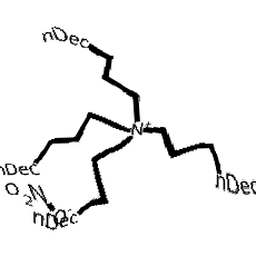 CCCCCCCCCCCCC[N+](CCCCCCCCCCCCC)(CCCCCCCCCCCCC)CCCCCCCCCCCCC.O=[N+]([O-])[O-]